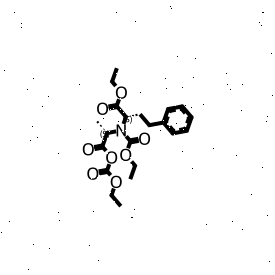 CCOC(=O)OC(=O)[C@H](C)N(C(=O)OCC)[C@@H](CCc1ccccc1)C(=O)OCC